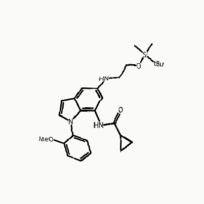 COc1ccccc1-n1ccc2cc(NCCO[Si](C)(C)C(C)(C)C)cc(NC(=O)C3CC3)c21